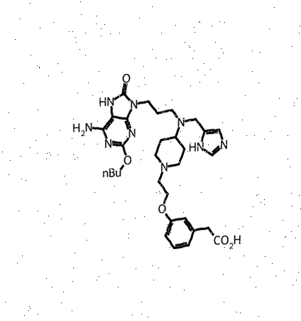 CCCCOc1nc(N)c2[nH]c(=O)n(CCCN(Cc3cnc[nH]3)C3CCN(CCOc4cccc(CC(=O)O)c4)CC3)c2n1